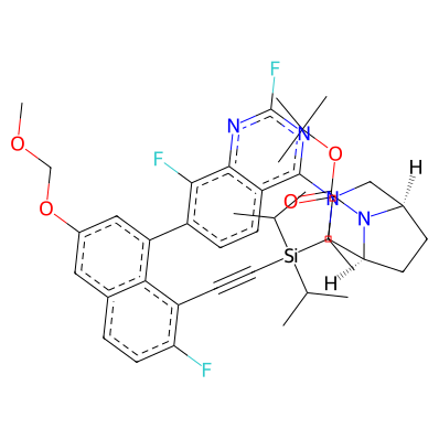 COCOc1cc(-c2ccc3c(N4C[C@H]5CC[C@@H](C4)N5C(=O)OC(C)(C)C)nc(F)nc3c2F)c2c(C#C[Si](C(C)C)(C(C)C)C(C)C)c(F)ccc2c1